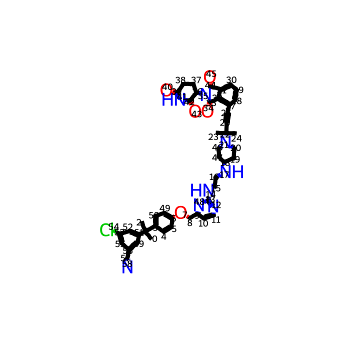 CC(C)(c1ccc(OCc2ccnc(NCCNC3CCN(C(C)(C)C#Cc4cccc5c4C(=O)N(C4CCC(=O)NC4=O)C5=O)CC3)n2)cc1)c1cc(Cl)cc(C#N)c1